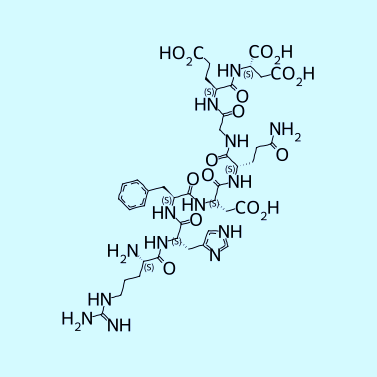 N=C(N)NCCC[C@H](N)C(=O)N[C@@H](Cc1c[nH]cn1)C(=O)N[C@@H](Cc1ccccc1)C(=O)N[C@@H](CC(=O)O)C(=O)N[C@@H](CCC(N)=O)C(=O)NCC(=O)N[C@@H](CCC(=O)O)C(=O)N[C@@H](CC(=O)O)C(=O)O